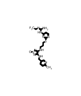 Cc1ccc(CNc2n[s+]([O-])nc2NCCCSc2nccc(N/C(N)=N\CC(F)(F)F)n2)cn1